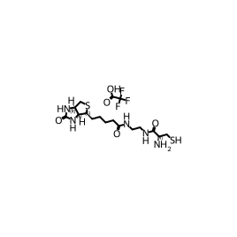 N[C@@H](CS)C(=O)NCCNC(=O)CCCC[C@@H]1SC[C@@H]2NC(=O)N[C@@H]21.O=C(O)C(F)(F)F